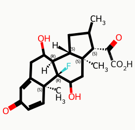 CC1C[C@H]2[C@@H]3C(O)CC4=CC(=O)C=C[C@]4(C)[C@@]3(F)C(O)C[C@]2(C)[C@H]1C(=O)C(=O)O